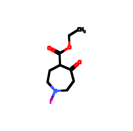 CCOC(=O)C1CCN(I)CCC1=O